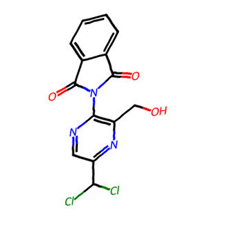 O=C1c2ccccc2C(=O)N1c1ncc(C(Cl)Cl)nc1CO